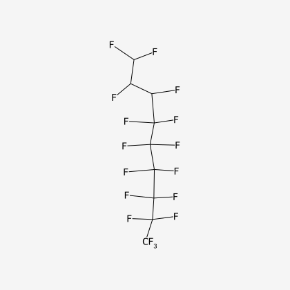 FC(F)C(F)C(F)C(F)(F)C(F)(F)C(F)(F)C(F)(F)C(F)(F)C(F)(F)F